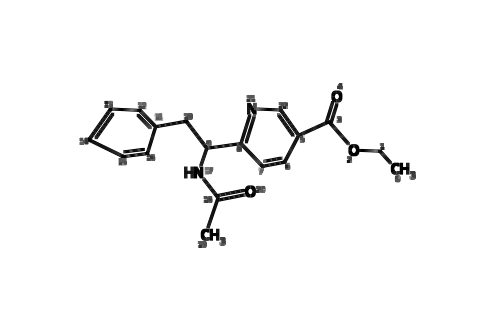 CCOC(=O)c1ccc(C(Cc2ccccc2)NC(C)=O)nc1